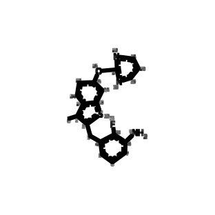 Cc1c(Cc2cccc(N)c2F)sc2cc(Oc3ncccn3)ccc12